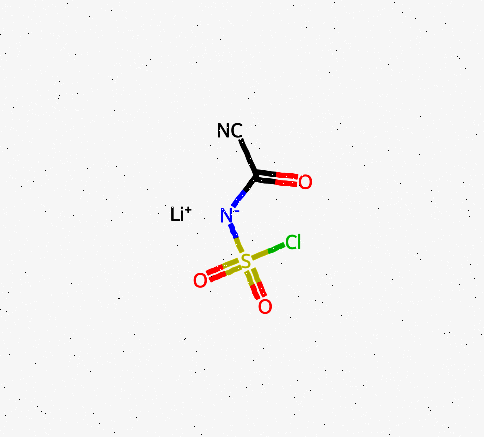 N#CC(=O)[N-]S(=O)(=O)Cl.[Li+]